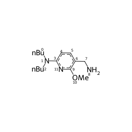 CCCCN(CCCC)c1ccc(CN)c(OC)n1